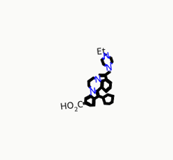 CCN1CCN(Cc2cn3c4c(cccc24)-c2c(C4CCCCC4)c4ccc(C(=O)O)cc4n2CCC3)CC1